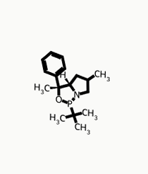 CC1C[C@@H]2N(C1)P(C(C)(C)C)O[C@]2(C)c1ccccc1